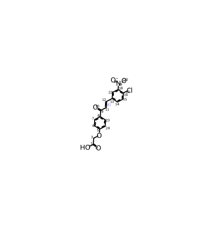 O=C(O)COc1ccc(C(=O)/C=C/c2ccc(Cl)c([N+](=O)[O-])c2)cc1